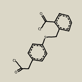 O=C(Cl)Cc1ccc(SCc2ccccc2C(=O)Cl)cc1